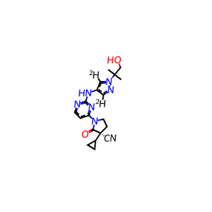 [2H]c1nn(C(C)(C)CO)c([2H])c1Nc1nccc(N2CC[C@@](C#N)(C3CC3)C2=O)n1